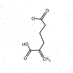 C=C(CCCC(=O)Cl)C(=O)O